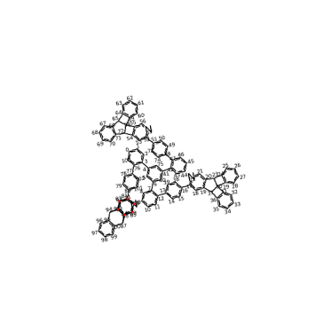 c1ccc(-c2cc(-c3ccccc3-c3ccc(-c4cc5c(cn4)C4c6ccccc6C46c4ccccc4C56)cc3)cc(-c3ccccc3-c3ccc(-c4cc5c(cn4)C46c7ccccc7C4c4ccccc4C56)cc3)c2)c(-c2ccc(-c3cc4c(cn3)C3c5ccccc5C4c4ccccc43)cc2)c1